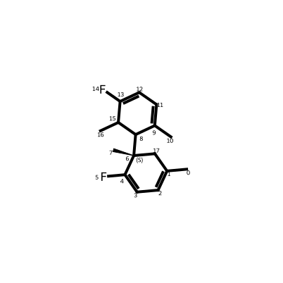 CC1=CC=C(F)[C@](C)(C2C(C)=CC=C(F)C2C)C1